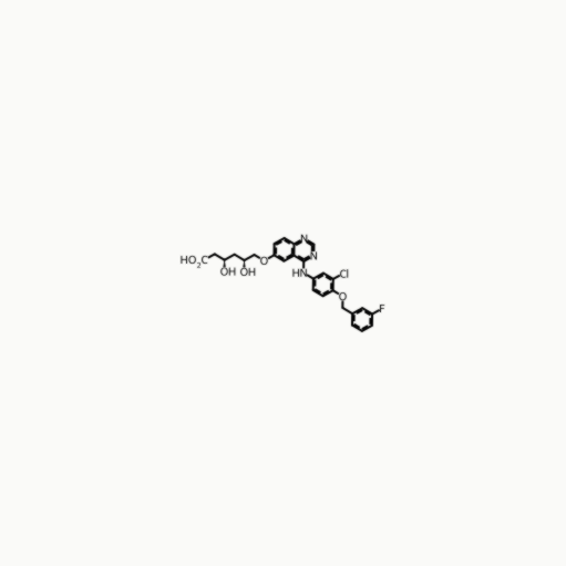 O=C(O)C[C@H](O)C[C@H](O)COc1ccc2ncnc(Nc3ccc(OCc4cccc(F)c4)c(Cl)c3)c2c1